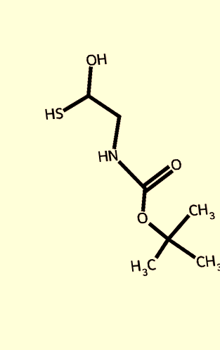 CC(C)(C)OC(=O)NCC(O)S